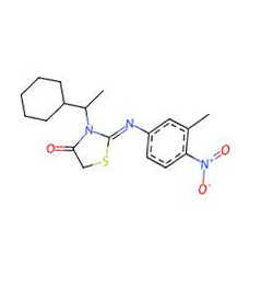 Cc1cc(N=C2SCC(=O)N2C(C)C2CCCCC2)ccc1[N+](=O)[O-]